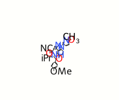 COc1ccc([C@@H](Oc2ccc3c(cnn3-c3ccc(=O)n(C)c3)c2)[C@@H](NC(=O)C2(C#N)CC2)C(C)C)cc1